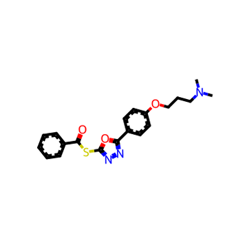 CN(C)CCCOc1ccc(-c2nnc(SC(=O)c3ccccc3)o2)cc1